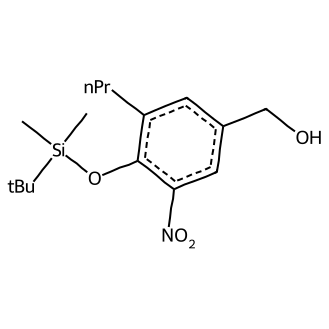 CCCc1cc(CO)cc([N+](=O)[O-])c1O[Si](C)(C)C(C)(C)C